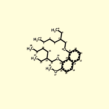 CCCCC(CC)COc1cccc2ccc(OC)c(OCC(CC)CCCC)c12